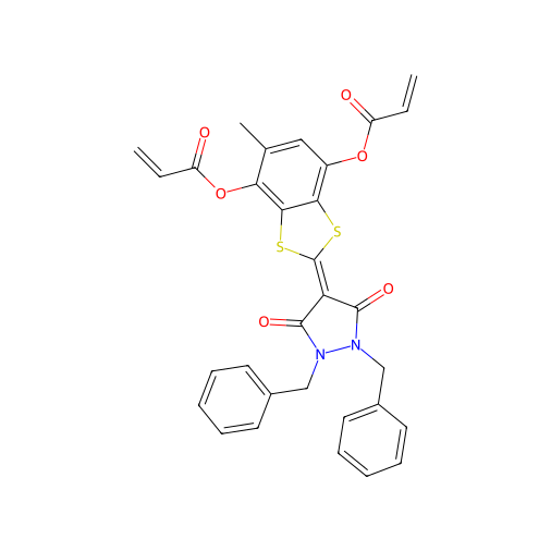 C=CC(=O)Oc1cc(C)c(OC(=O)C=C)c2c1SC(=C1C(=O)N(Cc3ccccc3)N(Cc3ccccc3)C1=O)S2